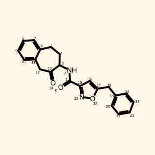 O=C(NC1CCc2ccccc2CC1=O)c1cc(Cc2ccccc2)on1